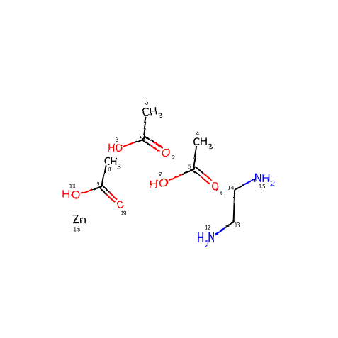 CC(=O)O.CC(=O)O.CC(=O)O.NCCN.[Zn]